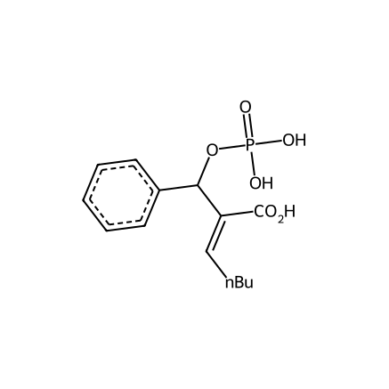 CCCCC=C(C(=O)O)C(OP(=O)(O)O)c1ccccc1